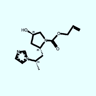 C=CCOC(=O)N1C[C@H](O)C[C@H]1C[C@H](C)n1ccnc1